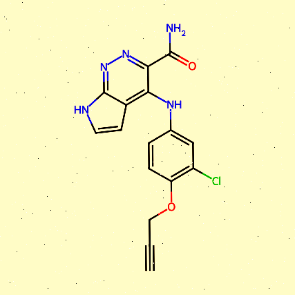 C#CCOc1ccc(Nc2c(C(N)=O)nnc3[nH]ccc23)cc1Cl